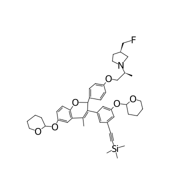 CC1=C(c2cc(C#C[Si](C)(C)C)cc(OC3CCCCO3)c2)C(c2ccc(OC[C@H](C)N3CC[C@@H](CF)C3)cc2)Oc2ccc(OC3CCCCO3)cc21